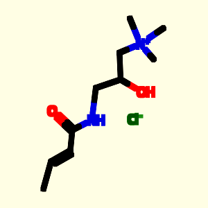 CC=CC(=O)NCC(O)C[N+](C)(C)C.[Cl-]